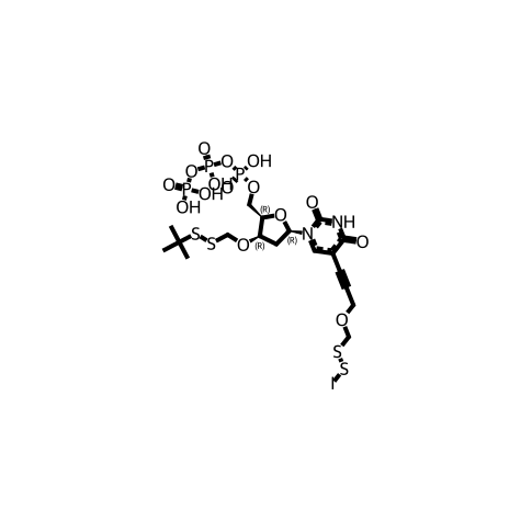 CC(C)(C)SSCO[C@@H]1C[C@H](n2cc(C#CCOCSSI)c(=O)[nH]c2=O)O[C@@H]1COP(=O)(O)OP(=O)(O)OP(=O)(O)O